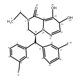 CCN1C[C@H](C(c2cccc(F)c2)c2cccc(F)c2)N2N=CC(O)C(O)=C2C1=O